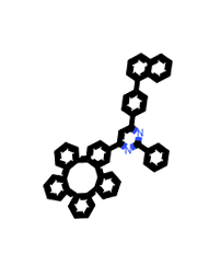 c1ccc(-c2nc(-c3ccc(-c4cccc5ccccc45)cc3)cc(-c3ccc4c5ccccc5c5ccccc5c5ccccc5c5ccccc5c4c3)n2)cc1